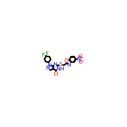 O=c1[nH]c(SCc2nc3cc([N+](=O)[O-])ccc3o2)nc2c1cnn2C1CCC(F)(F)CC1